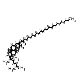 CCCCCCCCC=CCCCCCCCCCCCCCC(=O)O[C@H]1CC[C@@]2(C)C(=CC[C@H]3[C@@H]4CC[C@H]([C@H](C)CCCC(C)C)[C@@]4(C)CC[C@@H]32)C1